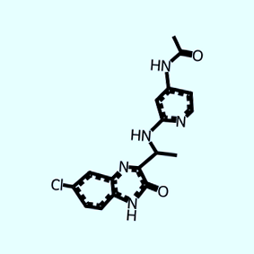 CC(=O)Nc1ccnc(NC(C)c2nc3cc(Cl)ccc3[nH]c2=O)c1